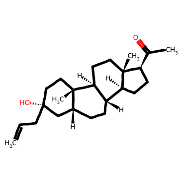 C=CC[C@@]1(O)CC[C@@]2(C)[C@H](CC[C@@H]3[C@@H]2CC[C@]2(C)[C@@H](C(C)=O)CC[C@@H]32)C1